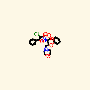 O=C(O)C(C(CN1CCOCC1)Oc1ccccc1)n1oc(-c2ccccc2)c(Cl)c1=O